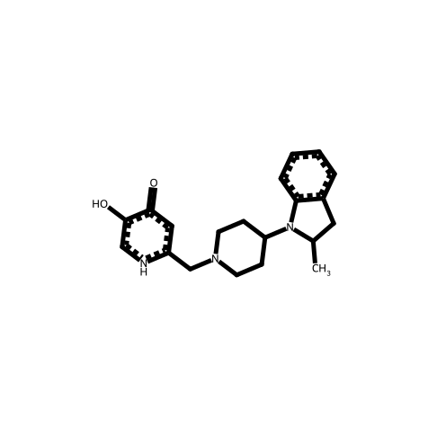 CC1Cc2ccccc2N1C1CCN(Cc2cc(=O)c(O)c[nH]2)CC1